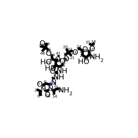 C=C(C)N1C(=O)C/C(=N\CNC(=O)NC(COOCC(C)(C)COCC2CC(O)C(N)C(OC(C)C)O2)C(O)C(OC)C(O)COCC2(C)COC2)N(C(C)CN)C1=O